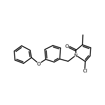 Cc1ccc(Cl)n(Cc2cccc(Oc3ccccc3)c2)c1=O